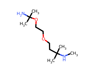 CNC(C)(C)CCOCCOC(C)(C)N